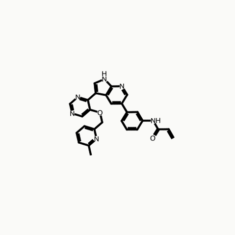 C=CC(=O)Nc1cccc(-c2cnc3[nH]cc(-c4ncncc4OCc4cccc(C)n4)c3c2)c1